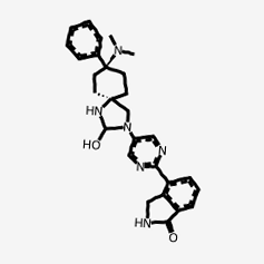 CN(C)[C@]1(c2ccccc2)CC[C@]2(CC1)CN(c1cnc(-c3cccc4c3CNC4=O)nc1)C(O)N2